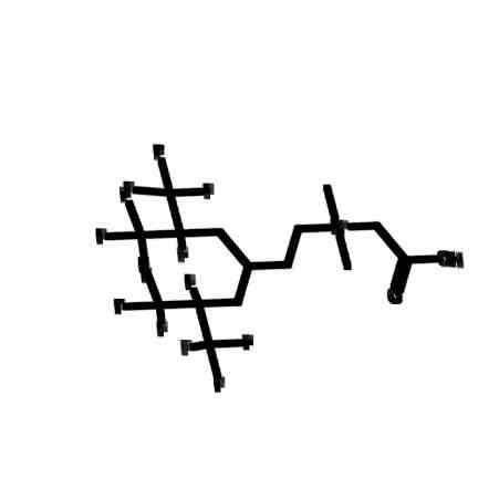 C[N+](C)(CCC(CC(F)(C(F)(F)F)C(F)(F)F)CC(F)(C(F)(F)F)C(F)(F)F)CC(=O)O